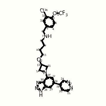 FC(F)(F)Oc1ccc(CNCCCCOC2CN(c3cc(-c4ccnnc4)cc4[nH]nnc34)C2)cc1Cl